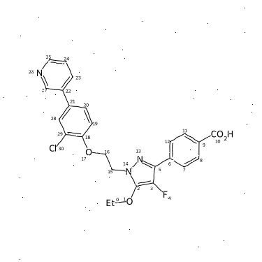 CCOc1c(F)c(-c2ccc(C(=O)O)cc2)nn1CCOc1ccc(-c2cccnc2)cc1Cl